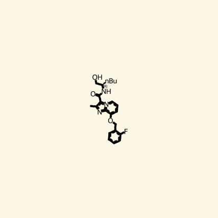 CCCC[C@H](CO)NC(=O)c1c(C)nc2c(OCc3ccccc3F)cccn12